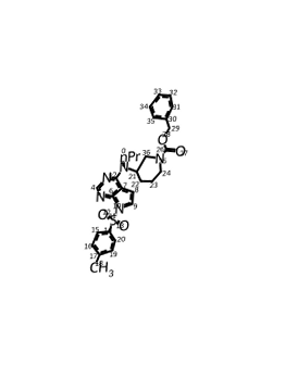 CCCN(c1ncnc2c1ccn2S(=O)(=O)c1ccc(C)cc1)C1CCCN(C(=O)OCc2ccccc2)C1